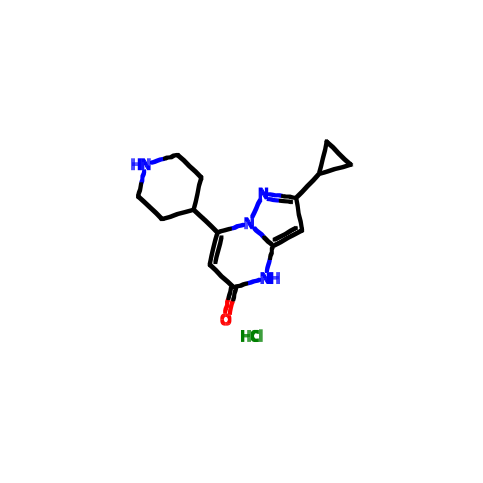 Cl.O=c1cc(C2CCNCC2)n2nc(C3CC3)cc2[nH]1